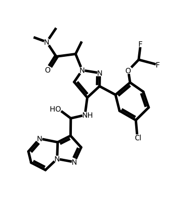 CC(C(=O)N(C)C)n1cc(NC(O)c2cnn3cccnc23)c(-c2cc(Cl)ccc2OC(F)F)n1